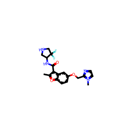 Cc1oc2ccc(OCc3nccn3C)cc2c1C(=O)NC1CNCC1(F)F